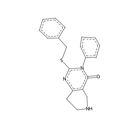 O=c1c2c(nc(SCc3ccccc3)n1-c1ccccc1)CCNC2